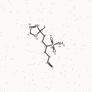 C=CCCC(CCC1(C)N=NCO1)S(N)(=O)=O